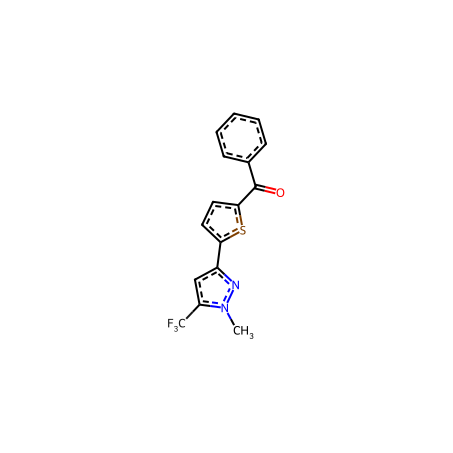 Cn1nc(-c2ccc(C(=O)c3ccccc3)s2)cc1C(F)(F)F